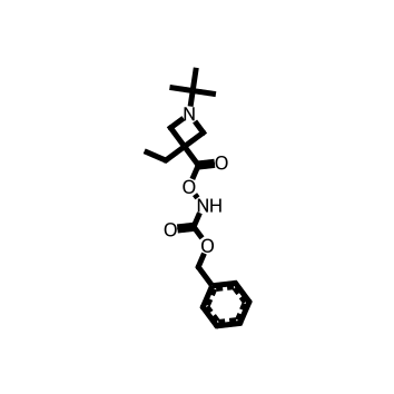 CCC1(C(=O)ONC(=O)OCc2ccccc2)CN(C(C)(C)C)C1